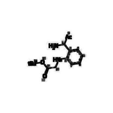 CC(=O)C(N)c1ccccc1NCC(=O)OC(C)(C)C